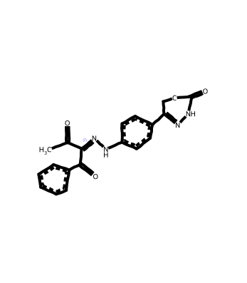 CC(=O)/C(=N/Nc1ccc(C2=NNC(=O)CC2)cc1)C(=O)c1ccccc1